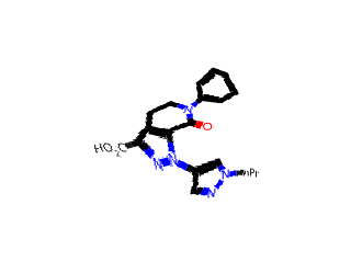 CCCn1cc(-n2nc(C(=O)O)c3c2C(=O)N(c2ccccc2)CC3)cn1